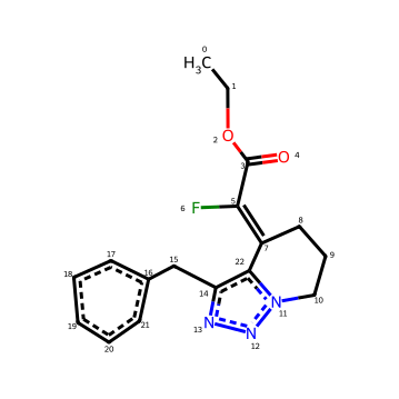 CCOC(=O)C(F)=C1CCCn2nnc(Cc3ccccc3)c21